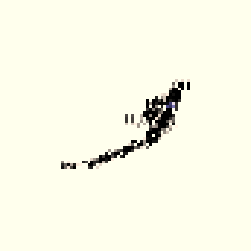 COCCOCCOCCOCCOCCOc1ccc(-c2cc3c(NC4CC[C@](C)(N)C4(C)C)c(/C(N)=N/c4ccc(O)cc4Cl)cnn3c2)cc1